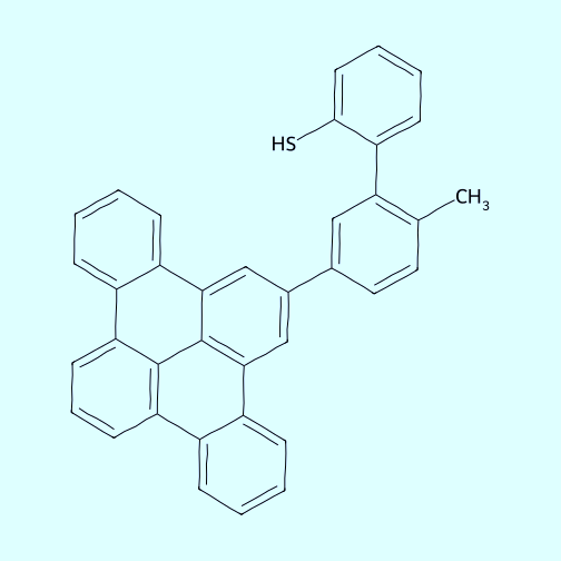 Cc1ccc(-c2cc3c4ccccc4c4cccc5c6ccccc6c(c2)c3c45)cc1-c1ccccc1S